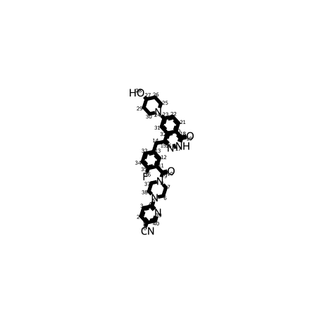 N#Cc1ccc(N2CCN(C(=O)c3cc(Cc4n[nH]c(=O)c5ccc(N6CCC(O)CC6)cc45)ccc3F)CC2)nc1